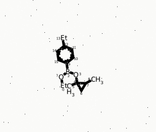 CCOB(OC1(C)CC1C)c1ccc(CC)cc1